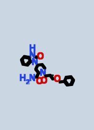 NC(=O)C1CC(n2c(=O)[nH]c3ccccc32)CCN1C(=O)[CH]COCc1ccccc1